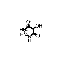 O=C1NNNC(=O)C1O